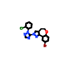 Clc1ccccc1-n1ncnc1-n1cc2c(n1)-c1cc(Br)ccc1OCC2